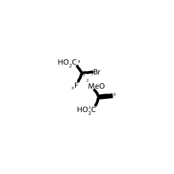 C=C(OC)C(=O)O.O=C(O)C(F)Br